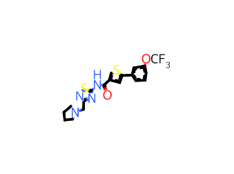 O=C(Nc1nc(CN2CCCC2)ns1)c1csc(-c2cccc(OC(F)(F)F)c2)c1